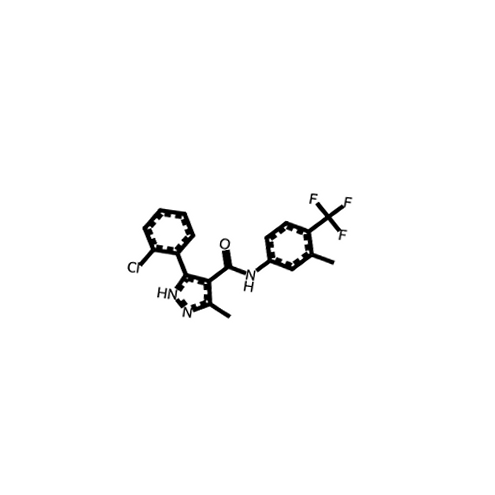 Cc1cc(NC(=O)c2c(C)n[nH]c2-c2ccccc2Cl)ccc1C(F)(F)F